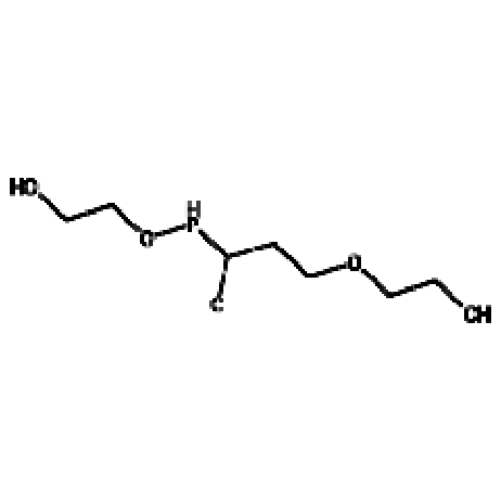 OCCOCCC(Cl)POCCO